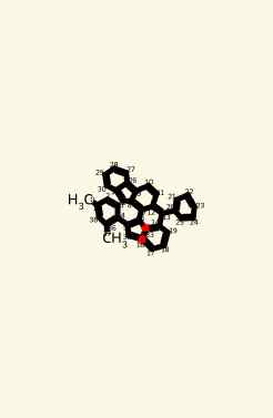 Cc1ccc(C2=C(c3c4c(ccc3=C(c3ccccc3)c3ccccc3)=c3ccccc3=[C]4)CC=C2)c(C)c1